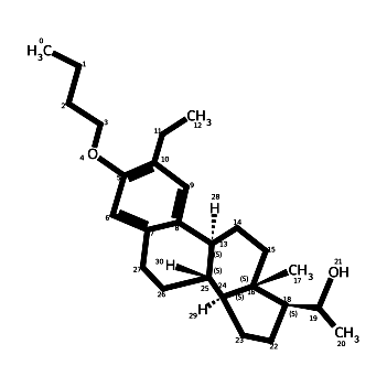 CCCCOc1cc2c(cc1CC)[C@H]1CC[C@]3(C)[C@@H](C(C)O)CC[C@H]3[C@@H]1CC2